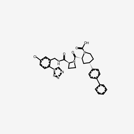 O=C(NCc1cc(Cl)ccc1-n1cnnn1)[C@@H]1CCN1C(=O)[C@H]1C[C@@H](c2ccc(-c3ccccc3)cc2)CCN1C(=O)O